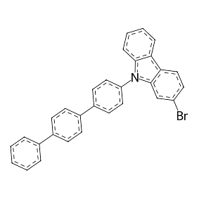 Brc1ccc2c3ccccc3n(-c3ccc(-c4ccc(-c5ccccc5)cc4)cc3)c2c1